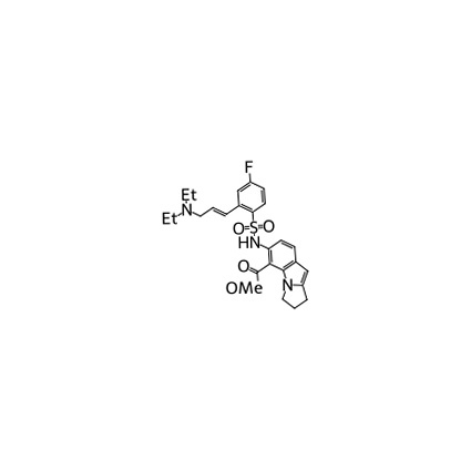 CCN(CC)CC=Cc1cc(F)ccc1S(=O)(=O)Nc1ccc2cc3n(c2c1C(=O)OC)CCC3